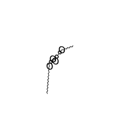 CCCCCCCCCCCCCCCCCCOC(C)c1ccc(OC(=O)c2ccc(-c3ccc(OCCCCCCCC)cc3)cc2)cc1